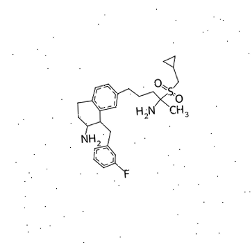 CC(N)(CCCc1ccc2c(c1)C(Cc1cccc(F)c1)C(N)CC2)S(=O)(=O)CC1CC1